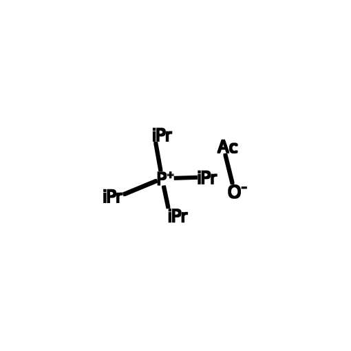 CC(=O)[O-].CC(C)[P+](C(C)C)(C(C)C)C(C)C